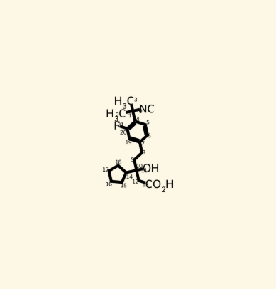 [C-]#[N+]C(C)(C)c1ccc(CCC(O)(CC(=O)O)C2CCCC2)cc1F